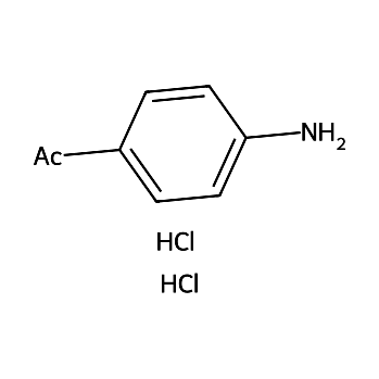 CC(=O)c1ccc(N)cc1.Cl.Cl